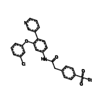 CCS(=O)(=O)c1ccc(CC(=O)Nc2ccc(-c3cccnc3)c(Oc3cccc(Cl)c3)c2)cc1